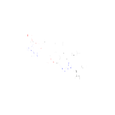 Cc1c(-c2n[nH]c(=O)o2)oc2nn(C(C)C)c(C)c12